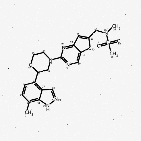 Cc1ccc(C2CN(c3ncc4sc(CN(C)S(C)(=O)=O)cc4n3)CCO2)c2cn[nH]c12